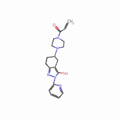 C=CC(=O)N1CCN(C2CCc3nn(-c4ccccn4)c(O)c3C2)CC1